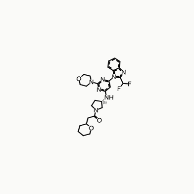 O=C(CC1CCCCO1)N1CC[C@H](Nc2cc(-n3c(C(F)F)nc4ccccc43)nc(N3CCOCC3)n2)C1